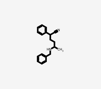 CC(CCC(C#N)c1ccccc1)NCc1ccccc1